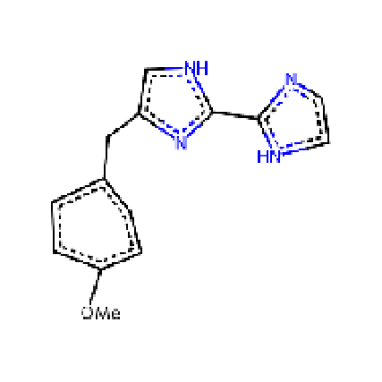 COc1ccc(Cc2c[nH]c(-c3ncc[nH]3)n2)cc1